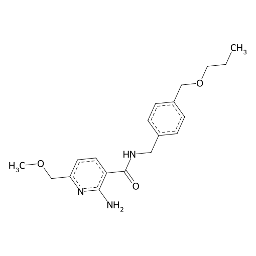 CCCOCc1ccc(CNC(=O)c2ccc(COC)nc2N)cc1